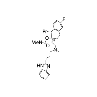 CNC(=O)O[C@]1(CCN(C)CCCc2nc3ccccc3[nH]2)CCc2cc(F)ccc2C1C(C)C